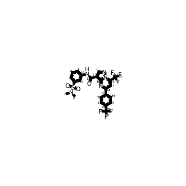 CN(C)S(=O)(=O)c1cccc(NC(=O)c2cnn3c(C(F)(F)F)cc(-c4ccc(C(F)(F)F)cc4)nc23)c1